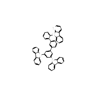 c1cc(-c2cc(-n3c4ccccc4c4ccccc43)cc(-n3c4ccccc4c4ccccc43)c2)cc(-c2ccccc2-n2c3ccccc3c3cccnc32)c1